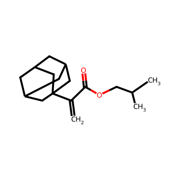 C=C(C(=O)OCC(C)C)C12CC3CC(CC(C3)C1)C2